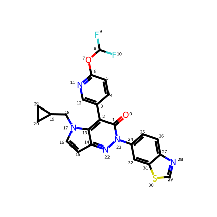 O=c1c(-c2ccc(OC(F)F)nc2)c2c(ccn2CC2CC2)nn1-c1ccc2ncsc2c1